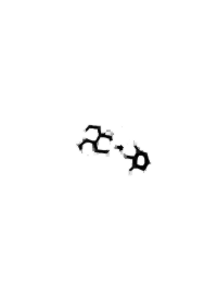 C[C@H]1[C@H]2CCC[C@@H]([C@H](O)C(F)(F)F)[C@@H]2CCN1C(=O)Nc1c(Cl)cccc1Cl